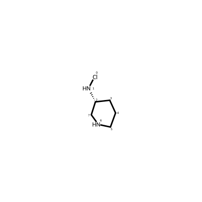 ClN[C@@H]1CCCNC1